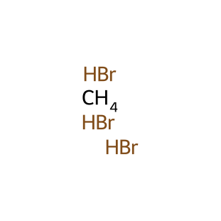 Br.Br.Br.C